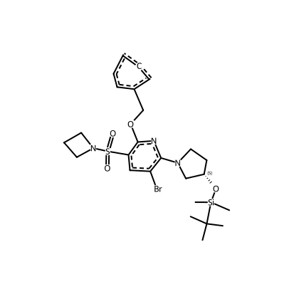 CC(C)(C)[Si](C)(C)O[C@H]1CCN(c2nc(OCc3ccccc3)c(S(=O)(=O)N3CCC3)cc2Br)C1